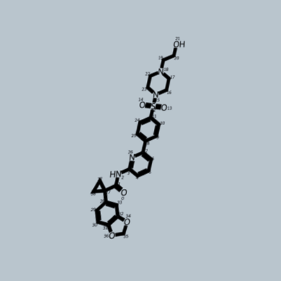 O=C(Nc1cccc(-c2ccc(S(=O)(=O)N3CCN(CCO)CC3)cc2)n1)C1(c2ccc3c(c2)OCO3)CC1